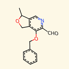 CC1OCc2c1cnc(C=O)c2OCc1ccccc1